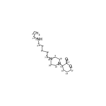 CSNSCCCSN1CCN(C2CCCOC2=O)CC1